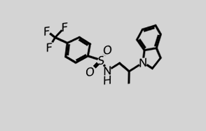 CC(CNS(=O)(=O)c1ccc(C(F)(F)F)cc1)N1CCc2ccccc21